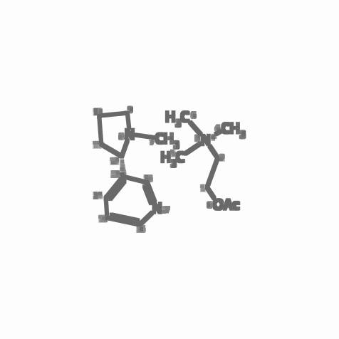 CC(=O)OCC[N+](C)(C)C.CN1CCC[C@H]1c1cccnc1